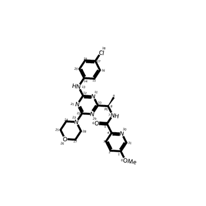 COc1ccc(C(=O)N[C@H](C)c2nc(Nc3ccc(Cl)cc3)nc(N3CCOCC3)n2)nc1